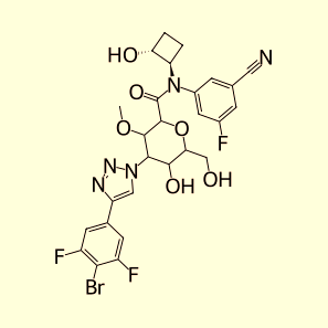 COC1C(C(=O)N(c2cc(F)cc(C#N)c2)[C@@H]2CC[C@H]2O)OC(CO)C(O)C1n1cc(-c2cc(F)c(Br)c(F)c2)nn1